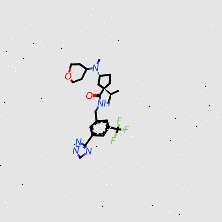 CC(C)[C@]1(C(=O)NCc2cc(C3=NCN=N3)cc(C(F)(F)F)c2)CC[C@@H](N(C)C2CCOCC2)C1